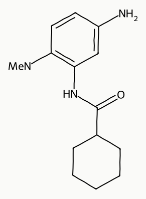 CNc1ccc(N)cc1NC(=O)C1CCCCC1